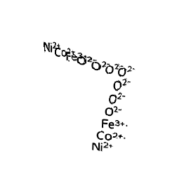 [Co+2].[Co+2].[Fe+3].[Fe+3].[Ni+2].[Ni+2].[O-2].[O-2].[O-2].[O-2].[O-2].[O-2].[O-2]